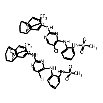 CS(=O)(=O)Nc1ccccc1Nc1nc(Nc2ccc3c(c2)C2CCC3CN(C(=O)C(F)(F)F)C2)ncc1Cl.CS(=O)(=O)Nc1ccccc1Nc1nc(Nc2ccc3c(c2)C2CCC3CN(C(=O)C(F)(F)F)C2)ncc1Cl